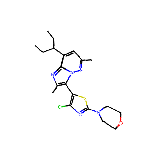 CCC(CC)c1cc(C)nn2c(-c3sc(N4CCOCC4)nc3Cl)c(C)nc12